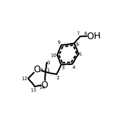 CC1(Cc2ccc(CO)cc2)OCCO1